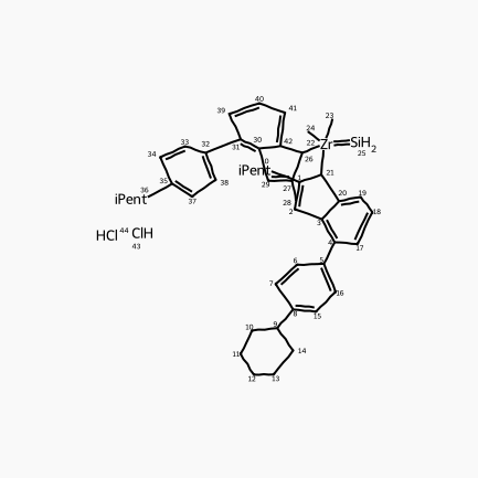 CCCC(C)C1=Cc2c(-c3ccc(C4CCCCC4)cc3)cccc2[CH]1[Zr]([CH3])([CH3])(=[SiH2])[CH]1C(C)=Cc2c(-c3ccc(C(C)CCC)cc3)cccc21.Cl.Cl